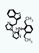 CCc1cccc(CC)c1NC1=NCCN1N1CCN=C1Cc1csc2ccccc12